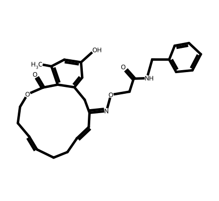 Cc1cc(O)cc2c1C(=O)OCC/C=C/CC/C=C/C(=N/OCC(=O)NCc1ccccc1)C2